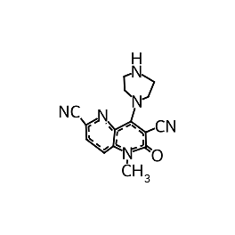 Cn1c(=O)c(C#N)c(N2CCNCC2)c2nc(C#N)ccc21